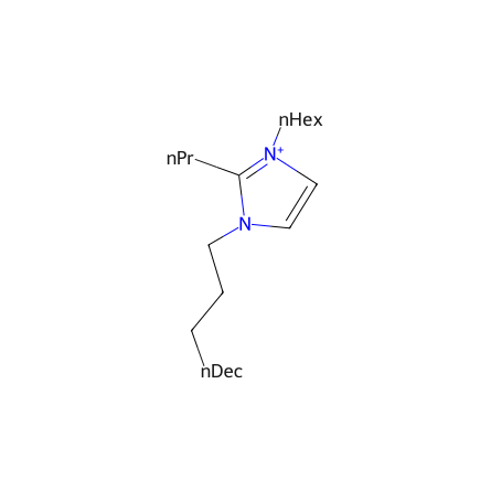 CCCCCCCCCCCCCn1cc[n+](CCCCCC)c1CCC